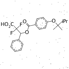 CC(C)C(C)(C)Oc1ccc(C(=O)OC(c2ccccc2)C(F)(F)C(=O)O)cc1